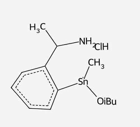 CC(C)C[O][Sn]([CH3])[c]1ccccc1C(C)N.Cl